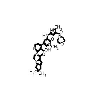 Cn1nc(Nc2cc(-c3ccnc(-n4ccn5c6c(cc5c4=O)CC(C)(C)C6)c3CO)cn(C)c2=O)cc1C(=O)N1CCOCC1